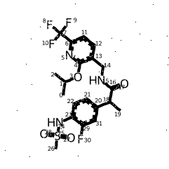 CC(C)Oc1nc(C(F)(F)F)ccc1CNC(=O)C(C)c1ccc(NS(C)(=O)=O)c(F)c1